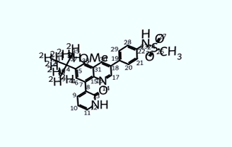 [2H]C([2H])([2H])C(c1cc(-c2ccc[nH]c2=O)c2ncc(-c3ccc(NS(C)(=O)=O)cc3)cc2c1OC)(C([2H])([2H])[2H])C([2H])([2H])[2H]